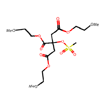 COCCOC(=O)CC(CC(=O)OCCOC)(OS(C)(=O)=O)C(=O)OCCOC